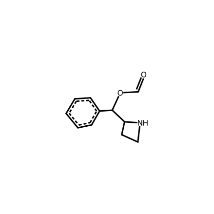 O=COC(c1ccccc1)C1CCN1